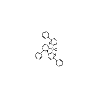 O=P(c1cccc(-c2ccccc2)n1)(c1cccc(-c2ccccc2)n1)c1cccc(-c2ccccc2)n1